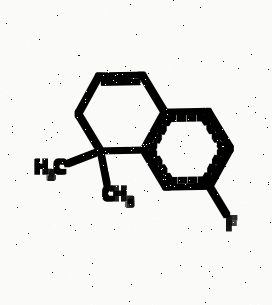 CC1(C)CC=Cc2ccc(F)cc21